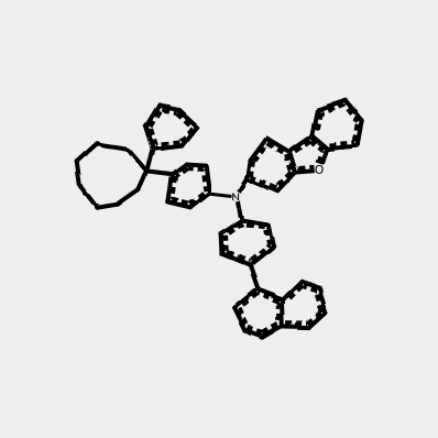 c1ccc(C2(c3ccc(N(c4ccc(-c5cccc6ccccc56)cc4)c4ccc5c(c4)oc4ccccc45)cc3)CCCCCCC2)cc1